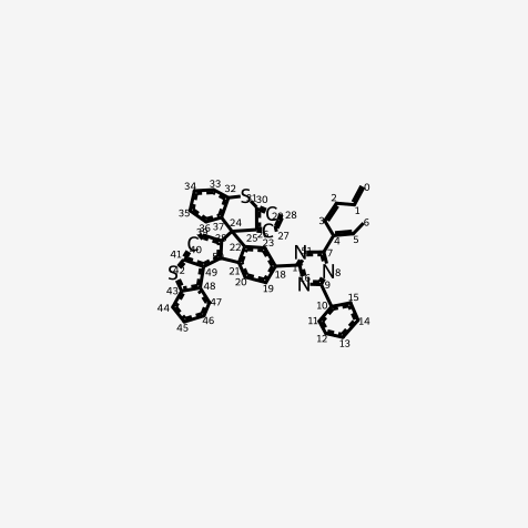 C=C/C=C\C(=C/C)c1nc(-c2ccccc2)nc(-c2ccc3c(c2)C2(c4ccccc4Sc4ccccc42)c2ccc4sc5ccccc5c4c2-3)n1